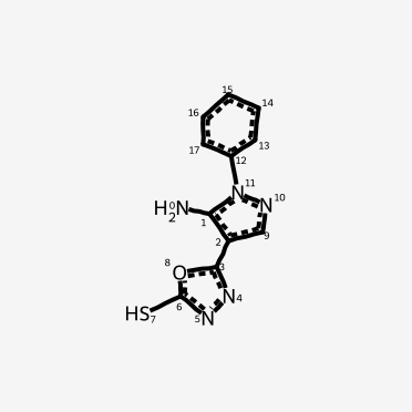 Nc1c(-c2nnc(S)o2)cnn1-c1ccccc1